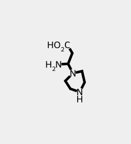 NC(CC(=O)O)N1CCNCC1